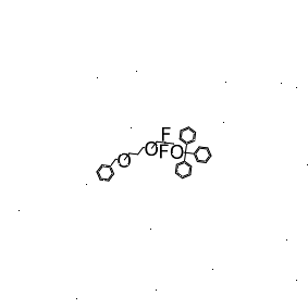 FC(F)(COCCCOCc1ccccc1)COC(c1ccccc1)(c1ccccc1)c1ccccc1